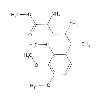 COC(=O)C(N)CC(C)C(C)c1ccc(OC)c(OC)c1OC